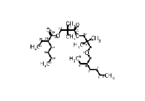 CCCCC(CC)COCC(C)(C)COC(=O)C(C)(C)COC(=O)C(CC)CCCC